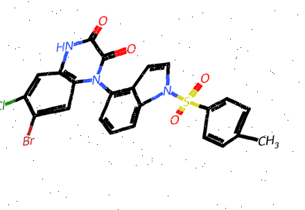 Cc1ccc(S(=O)(=O)n2ccc3c(-n4c(=O)c(=O)[nH]c5cc(Cl)c(Br)cc54)cccc32)cc1